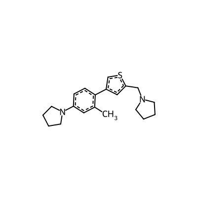 Cc1cc(N2CCCC2)ccc1-c1csc(CN2CCCC2)c1